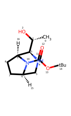 C[C@@H](O)[C@H]1NC[C@H]2CC[C@@H]1N2C(=O)OC(C)(C)C